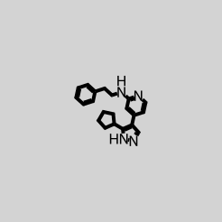 c1ccc(CCNc2cc(-c3cn[nH]c3C3CCCC3)ccn2)cc1